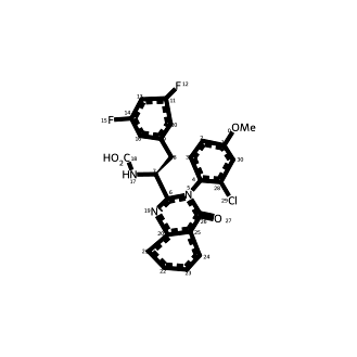 COc1ccc(-n2c([C@H](Cc3cc(F)cc(F)c3)NC(=O)O)nc3ccccc3c2=O)c(Cl)c1